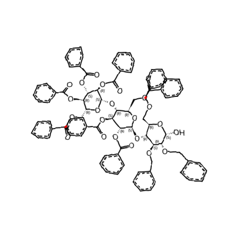 O=C(OC[C@H]1O[C@@H](O[C@H]2[C@H](OC(=O)c3ccccc3)[C@@H](OC(=O)c3ccccc3)[C@H](O[C@H]3[C@H](OCc4ccccc4)[C@@H](OCc4ccccc4)[C@@H](O)O[C@@H]3COCc3ccccc3)O[C@@H]2COC(=O)c2ccccc2)[C@H](OC(=O)c2ccccc2)[C@@H](OC(=O)c2ccccc2)[C@@H]1OC(=O)c1ccccc1)c1ccccc1